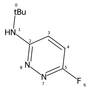 CC(C)(C)Nc1ccc(F)nn1